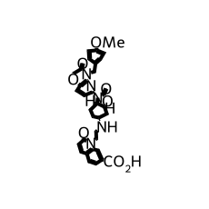 COc1ccc(CN2C(=O)COc3ccc(N4C(=O)O[C@@H]5C[C@H](NCCn6c(=O)ccc7ccc(C(=O)O)cc76)CC[C@H]54)nc32)cc1